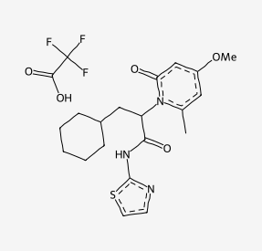 COc1cc(C)n(C(CC2CCCCC2)C(=O)Nc2nccs2)c(=O)c1.O=C(O)C(F)(F)F